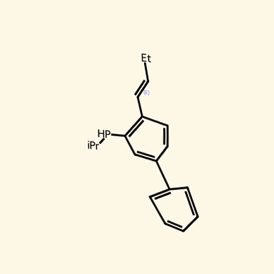 CC/C=C/c1ccc(-c2ccccc2)cc1PC(C)C